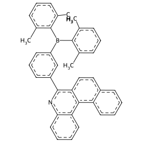 Cc1cccc(C)c1B(c1cccc(-c2nc3ccccc3c3c2ccc2ccccc23)c1)c1c(C)cccc1C